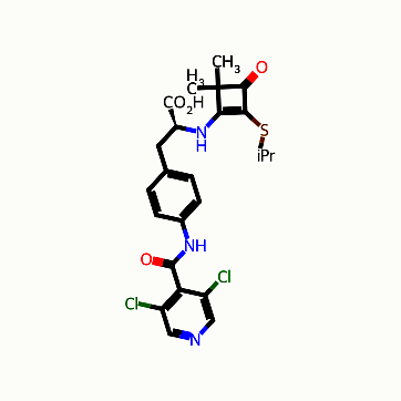 CC(C)SC1=C(N[C@@H](Cc2ccc(NC(=O)c3c(Cl)cncc3Cl)cc2)C(=O)O)C(C)(C)C1=O